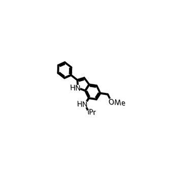 COCc1cc(NC(C)C)c2[nH]c(-c3ccccc3)cc2c1